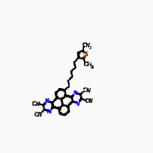 [C-]#[N+]c1nc2c3cccc4c5nc(C#N)c(C#N)nc5c5c(CCCCCCc6cc(C)sc6C)ccc(c2nc1[N+]#[C-])c5c34